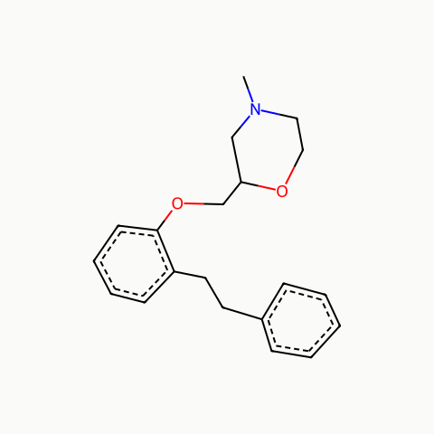 CN1CCOC(COc2ccccc2CCc2ccccc2)C1